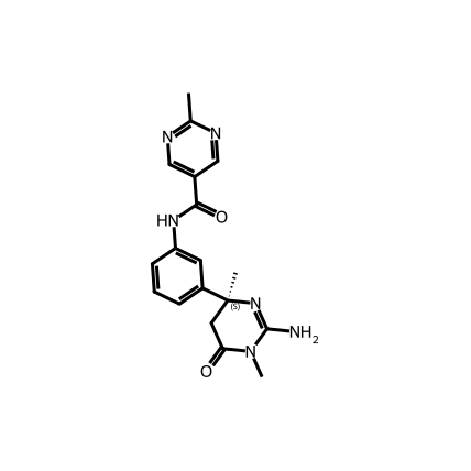 Cc1ncc(C(=O)Nc2cccc([C@]3(C)CC(=O)N(C)C(N)=N3)c2)cn1